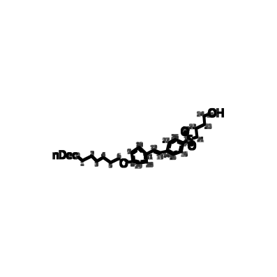 CCCCCCCCCCCCCCCCOc1ccc(C=Cc2ccc(S(=O)(=O)CCCCO)cc2)cc1